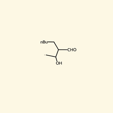 [CH2]C(O)C(C=O)CCCCC